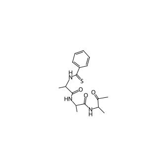 CC(=O)C(C)NC(=O)C(C)NC(=O)C(C)NC(=S)c1ccccc1